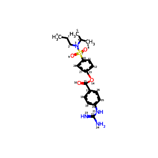 CCCN(C(C)C)S(=O)(=O)c1ccc(OC(=O)c2ccc(NC(=N)N)cc2)cc1